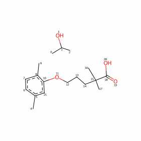 CC(C)O.Cc1ccc(C)c(OCCCC(C)(C)C(=O)O)c1